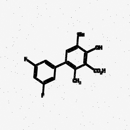 Cc1c(-c2cc(F)cc(F)c2)cc(C(C)(C)C)c(O)c1C(=O)O